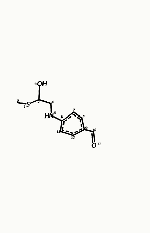 CSC(O)CNc1ccc(C=O)cc1